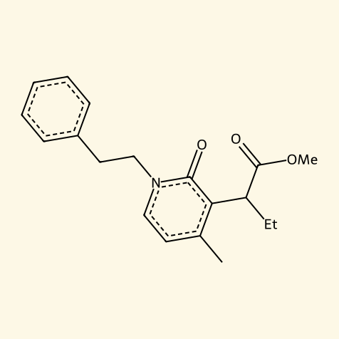 CCC(C(=O)OC)c1c(C)ccn(CCc2ccccc2)c1=O